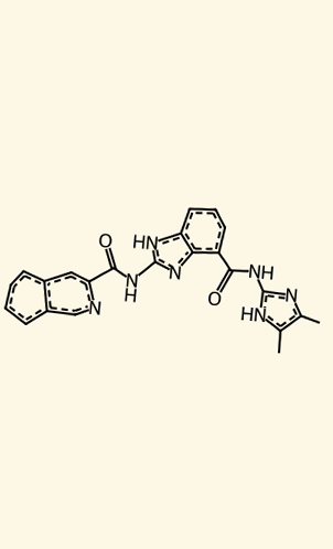 Cc1nc(NC(=O)c2cccc3[nH]c(NC(=O)c4cc5ccccc5cn4)nc23)[nH]c1C